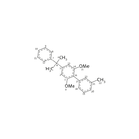 COc1cc(C(C)(C)c2ccccc2)cc(OC)c1-c1cccc(C)c1